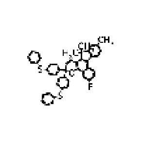 Cc1ccc2c(c1)C(C)(C)c1c3c(c4cc(F)ccc4c1-2)OC(c1ccc(Sc2ccccc2)cc1)(c1ccc(Sc2ccccc2)cc1)C=C3